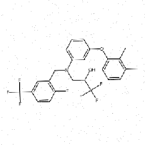 Cc1cccc(Oc2cccc(N(Cc3cc(C(F)(F)F)ccc3F)CC(O)C(F)(F)F)c2)c1C